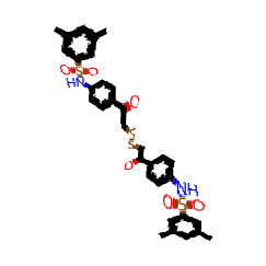 Cc1cc(C)cc(S(=O)(=O)Nc2ccc(C(=O)CSSCC(=O)c3ccc(NS(=O)(=O)c4cc(C)cc(C)c4)cc3)cc2)c1